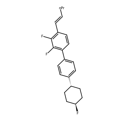 CCCC=Cc1ccc(-c2ccc([C@H]3CC[C@H](F)CC3)cc2)c(F)c1F